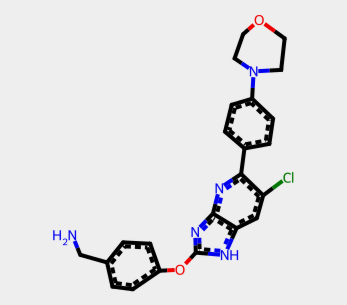 NCc1ccc(Oc2nc3nc(-c4ccc(N5CCOCC5)cc4)c(Cl)cc3[nH]2)cc1